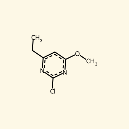 CCc1cc(OC)nc(Cl)n1